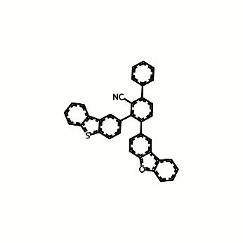 N#Cc1c(-c2ccccc2)ccc(-c2ccc3oc4ccccc4c3c2)c1-c1ccc2sc3ccccc3c2c1